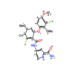 COc1c(OC2=CC(OC)C(Cl)C(F)=C2C(=O)Nc2ccnc(C(N)=O)c2)ccc(OC(F)(F)F)c1F